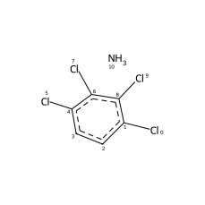 Clc1ccc(Cl)c(Cl)c1Cl.N